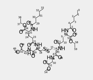 CCCCCC(=O)N[C@@H](CCC(=O)N[C@@H](CSSC[C@H](NC(=O)CC[C@H](NC(=O)CCCCC)C(=O)OCC)C(=O)NCC(=O)OC)C(=O)NCC(=O)OC)C(=O)OCC